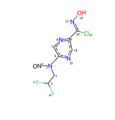 O=NN(CC(F)F)c1cnc(/C(Cl)=N/O)cn1